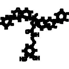 CC(CCC(=O)NCCc1ccc(O)c(O)c1)(c1ccc2c(c1)CN(c1ccccc1)CO2)c1ccc2c(c1)CN(c1ccccc1)CO2